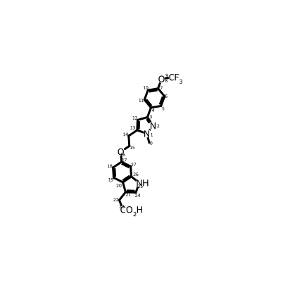 Cn1nc(-c2ccc(OC(F)(F)F)cc2)cc1CCOc1ccc2c(CC(=O)O)c[nH]c2c1